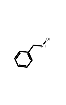 ONCc1cc[c]cc1